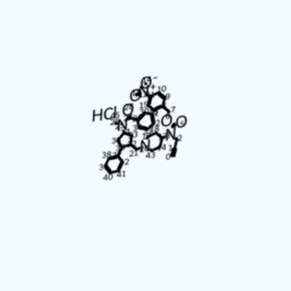 C#CCN(C(=O)OCc1ccc([N+](=O)[O-])cc1)C1CCN(CC2CC(N(C)C(=O)c3ccccc3)CC2c2ccccc2)CC1.Cl